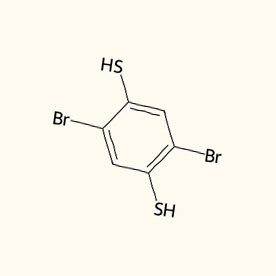 Sc1cc(Br)c(S)cc1Br